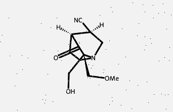 COC[C@@]1(CO)C(=O)[C@H]2CCN1C[C@@H]2C#N